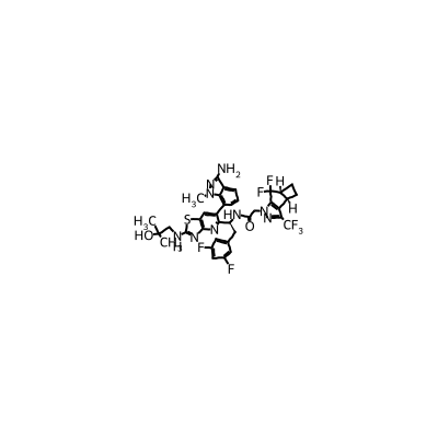 Cn1nc(N)c2cccc(-c3cc4sc(NCC(C)(C)O)nc4nc3[C@H](Cc3cc(F)cc(F)c3)NC(=O)Cn3nc(C(F)(F)F)c4c3C(F)(F)[C@@H]3CC[C@H]43)c21